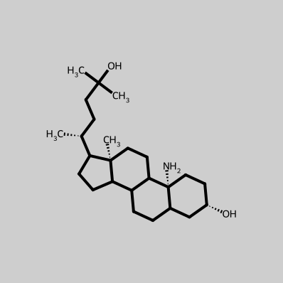 C[C@H](CCC(C)(C)O)C1CCC2C3CCC4C[C@@H](O)CC[C@]4(N)C3CC[C@@]21C